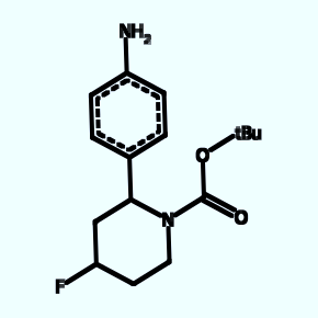 CC(C)(C)OC(=O)N1CCC(F)CC1c1ccc(N)cc1